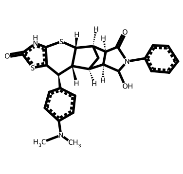 CN(C)c1ccc([C@H]2c3sc(=O)[nH]c3S[C@@H]3[C@@H]4C[C@@H]([C@@H]5C(O)N(c6ccccc6)C(=O)[C@H]45)[C@H]23)cc1